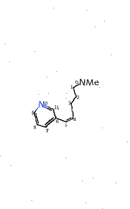 CNCCC/C=C\c1cccnc1